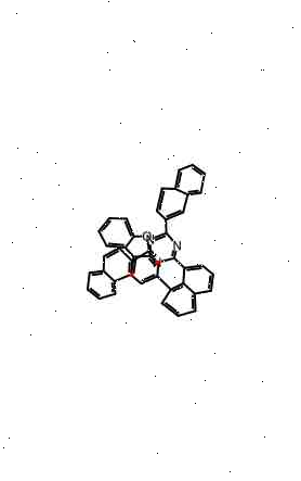 c1ccc2cc(-c3nc(-c4ccc5ccccc5c4)nc(-c4cccc5cccc(-c6ccc7c(c6)oc6ccccc67)c45)n3)ccc2c1